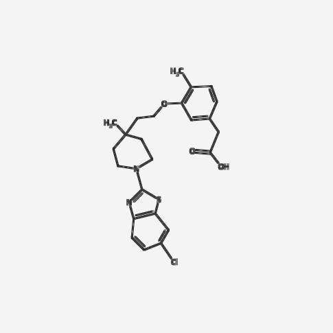 Cc1ccc(CC(=O)O)cc1OCCC1(C)CCN(c2nc3ccc(Cl)cc3s2)CC1